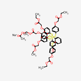 CC(=O)O.CCOC(=O)COc1ccc(Sc2ccccc2S(Sc2ccc(OCC(=O)OCC)cc2)(Sc2ccc(OCC(=O)OCC)cc2)(Sc2ccc(OCC(=O)OCC)cc2)(Sc2ccc(OCC(=O)OCC)cc2)c2ccc([O-])cc2)cc1.[Na+]